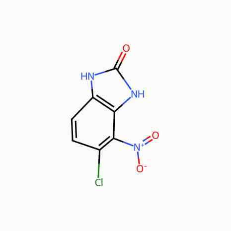 O=c1[nH]c2ccc(Cl)c([N+](=O)[O-])c2[nH]1